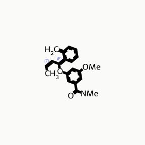 C=c1cccc/c1=C(/C=C\C)Oc1cc(OC)cc(C(=O)NC)c1